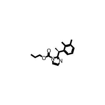 CCCOC(=O)n1ccnc1[C@@H](C)c1cccc(C)c1C